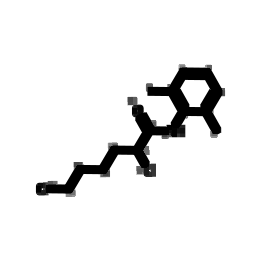 Cc1cccc(C)c1NC(=O)C(Cl)CCCCCl